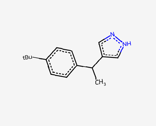 CC(c1ccc(C(C)(C)C)cc1)c1cn[nH]c1